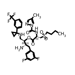 CCCCS(=O)(=O)C[C@@H](NC(=O)n1cc(C)cn1)C(=O)O[C@H](CNC1(c2cccc(C(F)(F)F)c2)CC1)[C@@H](N)Cc1cc(F)cc(F)c1